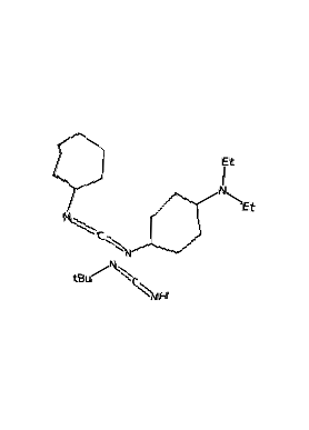 CC(C)(C)N=C=N.CCN(CC)C1CCC(N=C=NC2CCCCC2)CC1